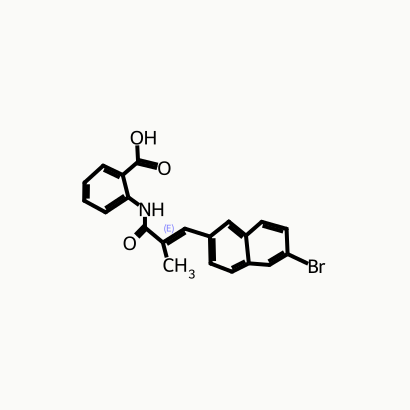 C/C(=C\c1ccc2cc(Br)ccc2c1)C(=O)Nc1ccccc1C(=O)O